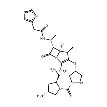 CC(NC(=O)Cn1cnnn1)[C@H]1C(=O)N2C(C(=O)O)=C(S[C@@H]3CN[C@H](C(=O)N4C[C@H](N)C[C@H]4CN)C3)[C@H](C)[C@H]12